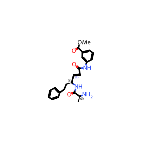 COC(=O)c1cccc(NC(=O)/C=C/[C@H](CCc2ccccc2)NC(=O)[C@H](C)N)c1